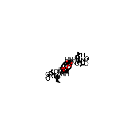 COC(=O)N[C@H](C(=O)N1CC2(CC2)C[C@H]1c1nc2cc(-c3cc4ccc3CCc3ccc(c(-c5ccc6[nH]c([C@@H]7CC8(CC8)CN7C(=O)[C@@H](NC(=O)OC)C(C)C)nc6c5)c3)C[C@H]4C)ccc2[nH]1)C(C)C